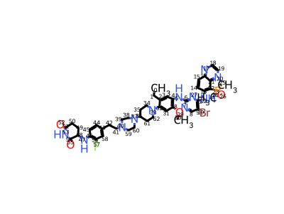 CCc1cc(Nc2ncc(Br)c(Nc3ccc4nccnc4c3P(C)(C)=O)n2)c(OC)cc1N1CCC(N2CCN(CCc3ccc(NC4CCC(=O)NC4=O)c(F)c3)CC2)CC1